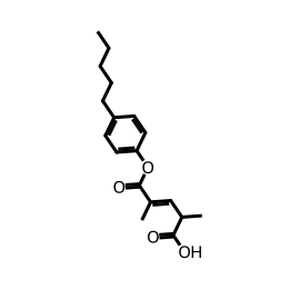 CCCCCc1ccc(OC(=O)C(C)=CC(C)C(=O)O)cc1